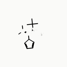 C[Si](C)=[Ti+2]([NH]C(C)(C)C)[CH]1C=CC=C1.[Cl-].[Cl-]